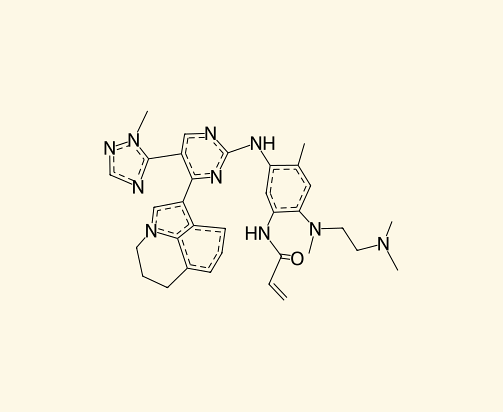 C=CC(=O)Nc1cc(Nc2ncc(-c3ncnn3C)c(-c3cn4c5c(cccc35)CCC4)n2)c(C)cc1N(C)CCN(C)C